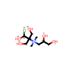 C[N+](C)(CC(O)CO)C(CO)(CO)C(O)Cl